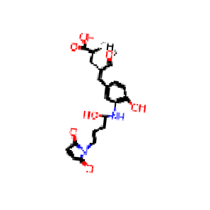 CC(C[C@@H](C=O)Cc1ccc(O)c(NC(O)CCCN2C(=O)C=CC2=O)c1)C(=O)O